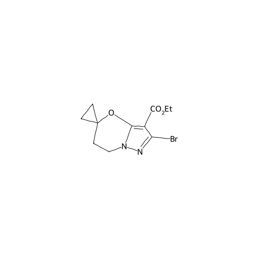 CCOC(=O)c1c(Br)nn2c1OC1(CC2)CC1